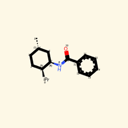 CC(C)[C@H]1CC[C@H](C)C[C@H]1NC(=O)c1ccccc1